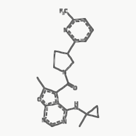 Cc1oc2ncnc(NC3(C)CC3)c2c1C(=O)N1CCC(c2cccc(C(F)(F)F)n2)C1